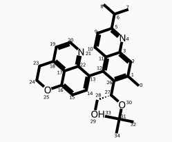 Cc1cc2nc(C(C)C)ccc2c(-c2ccc3c4c(ccnc24)CCO3)c1[C@@H](CO)OC(C)(C)C